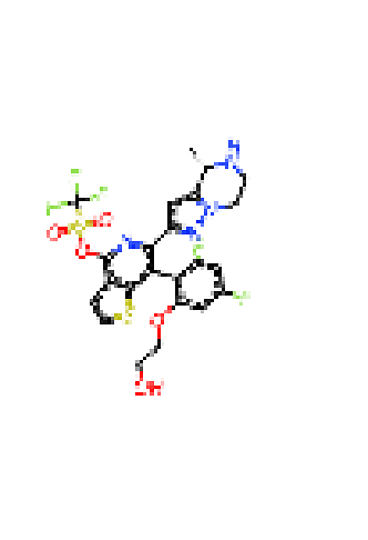 C[C@@H]1NCCn2nc(-c3nc(OS(=O)(=O)C(F)(F)F)c4ccsc4c3-c3c(F)cc(F)cc3OCCO)cc21